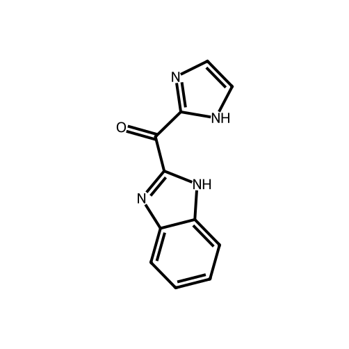 O=C(c1ncc[nH]1)c1nc2ccccc2[nH]1